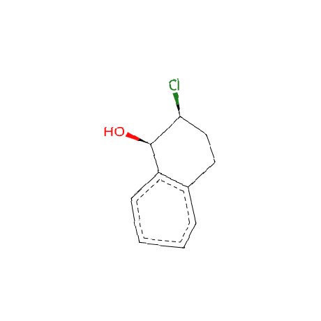 O[C@@H]1c2ccccc2CC[C@@H]1Cl